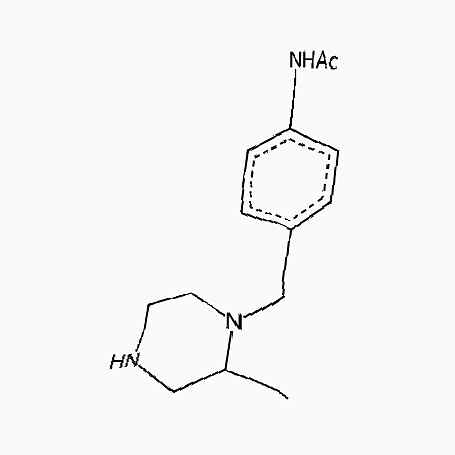 CC(=O)Nc1ccc(CN2CCNCC2C)cc1